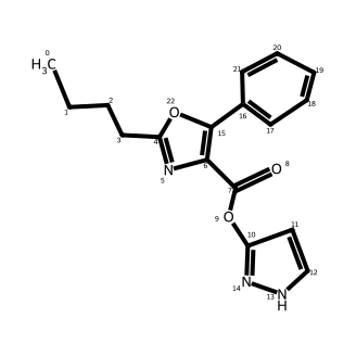 CCCCc1nc(C(=O)Oc2cc[nH]n2)c(-c2ccccc2)o1